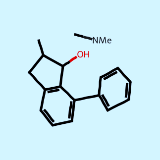 CC1Cc2cccc(-c3ccccc3)c2C1O.CNC